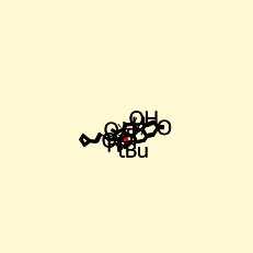 CC(C)(C)CC(=O)[C@@]12O[C@H](/C=C/C3CCC3)O[C@@H]1C[C@H]1[C@@H]3CCC4=CC(=O)C=C[C@]4(C)[C@H]3[C@@H](O)C[C@@]12C